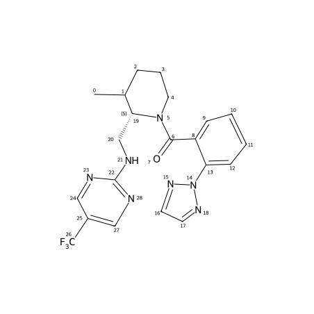 CC1CCCN(C(=O)c2ccccc2-n2nccn2)[C@@H]1CNc1ncc(C(F)(F)F)cn1